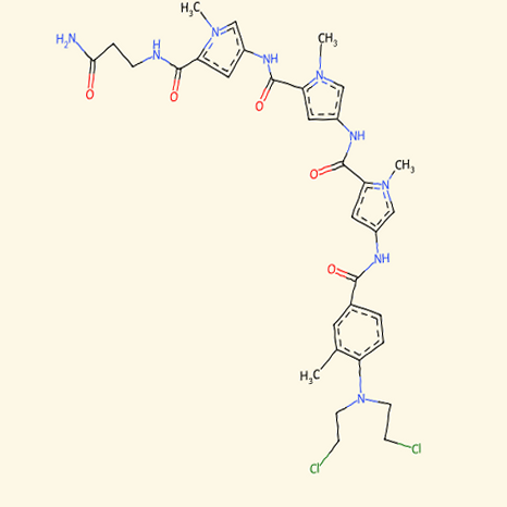 Cc1cc(C(=O)Nc2cc(C(=O)Nc3cc(C(=O)Nc4cc(C(=O)NCCC(N)=O)n(C)c4)n(C)c3)n(C)c2)ccc1N(CCCl)CCCl